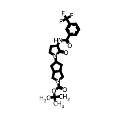 CC(C)(C)OC(=O)N1CC2CC(N3CCC(NC(=O)c4cccc(C(F)(F)F)c4)C3=O)CC2C1